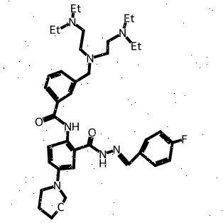 CCN(CC)CCN(CCN(CC)CC)Cc1cccc(C(=O)Nc2ccc(N3CCCCC3)cc2C(=O)NN=Cc2ccc(F)cc2)c1